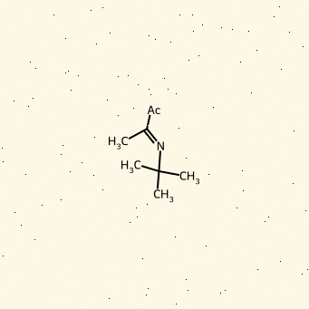 CC(=O)C(C)=NC(C)(C)C